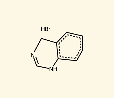 Br.C1=NCc2ccccc2N1